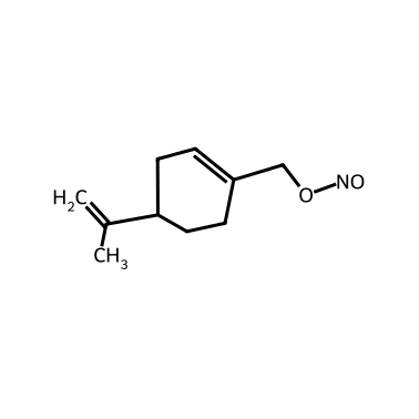 C=C(C)C1CC=C(CON=O)CC1